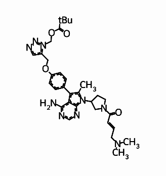 Cc1c(-c2ccc(OCc3cnnn3COC(=O)C(C)(C)C)cc2)c2c(N)ncnc2n1C1CCN(C(=O)/C=C/CN(C)C)C1